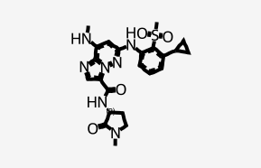 CNc1cc(Nc2cccc(C3CC3)c2S(C)(=O)=O)nn2c(C(=O)N[C@@H]3CCN(C)C3=O)cnc12